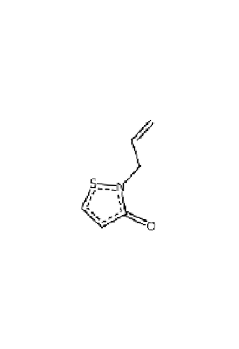 C=CCn1sccc1=O